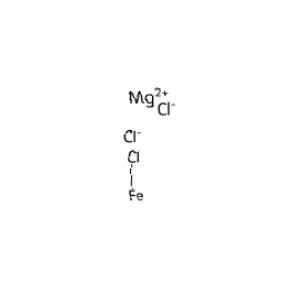 [Cl-].[Cl-].[Cl][Fe].[Mg+2]